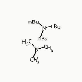 CCCCN(CCCC)CCCC.CN(C)C